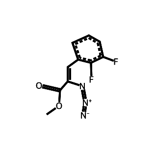 COC(=O)/C(=C/c1cccc(F)c1F)N=[N+]=[N-]